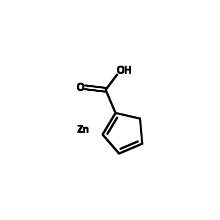 O=C(O)C1=CC=CC1.[Zn]